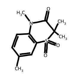 Cc1ccc2c(c1)S(=O)(=O)C(C)(C)C(=O)N2C